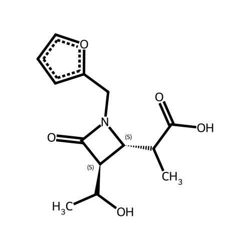 CC(O)[C@H]1C(=O)N(Cc2ccco2)[C@@H]1C(C)C(=O)O